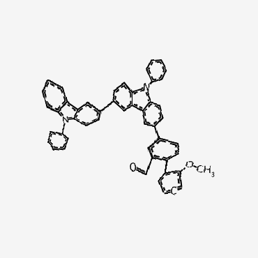 COc1ccccc1-c1ccc(-c2ccc3c(c2)c2cc(-c4ccc5c(c4)c4ccccc4n5-c4ccccc4)ccc2n3-c2ccccc2)cc1C=O